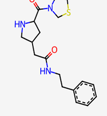 O=C(CC1CNC(C(=O)N2CCSC2)C1)NCCc1ccccc1